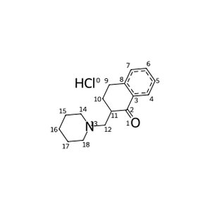 Cl.O=C1c2ccccc2CCC1CN1CCCCC1